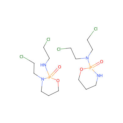 O=P1(N(CCCl)CCCl)NCCCO1.O=P1(NCCCl)OCCCN1CCCl